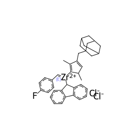 CC1=[C](/[Zr+2](=[CH]/c2ccc(F)cc2)[CH]2c3ccccc3-c3ccccc32)C(C)C=C1CC12CC3CC(CC(C3)C1)C2.[Cl-].[Cl-]